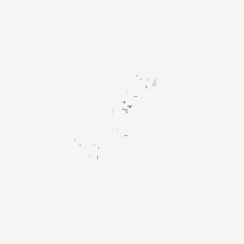 CCCCC1NSc2cc(S(=O)(=O)NCc3ccc(CSCC(NCC(C=O)N4C5CCCCC5C[C@H]4C(=O)O)C(=O)OCC)cc3)c(Cl)cc2N1